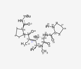 CCCCNC(=O)[C@@H]1CCCN1C(=O)/C(C)=C/[C@H](C(C)C)N(C)C(=O)[C@@H](NC(=O)C1CCCCN1C(C)C)C(C)(C)C